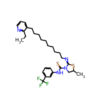 CCc1ncccc1CCCCCCCCCCN=C1SC(C)CN1C(=S)Nc1cccc(C(F)(F)F)c1